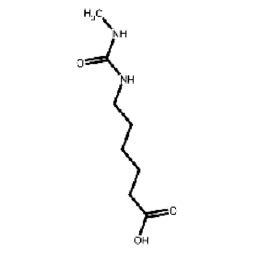 CNC(=O)NCCCCCC(=O)O